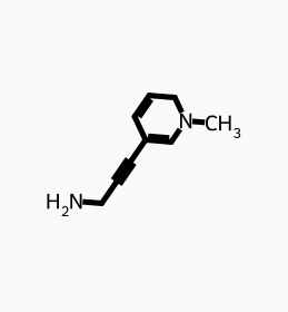 CN1C=C(C#CCN)C=CC1